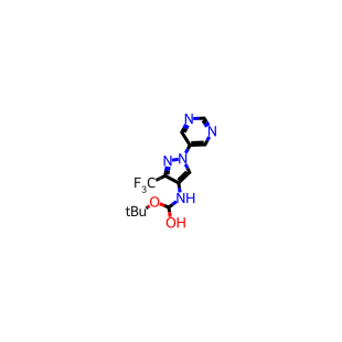 CC(C)(C)OC(O)Nc1cn(-c2cncnc2)nc1C(F)(F)F